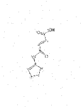 O=C(O)C=CC(=O)OC1=CCCC1